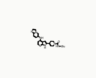 CC(C)(C)NC(=O)N1CC=C(c2cc3c(Nc4ccc5nccn5c4)ccnc3[nH]2)CC1